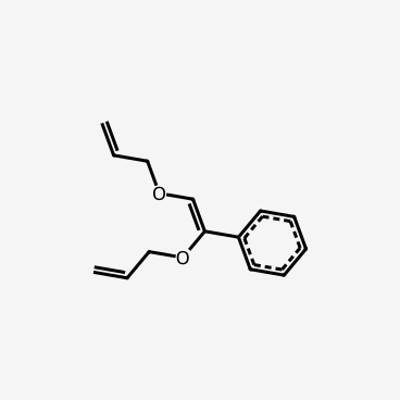 C=CCOC=C(OCC=C)c1ccccc1